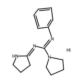 I.c1ccc(N=C(N=C2CCCN2)N2CCCC2)cc1